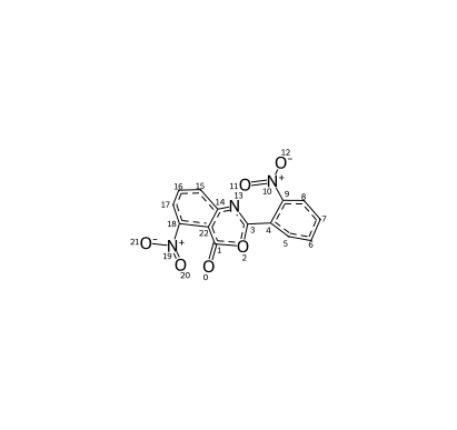 O=c1oc(-c2ccccc2[N+](=O)[O-])nc2cccc([N+](=O)[O-])c12